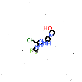 OC1CCCN(c2ccc(Nc3ncc(CCCl)c(N4C[C@H](F)[C@@H](F)C4)n3)cc2)C1